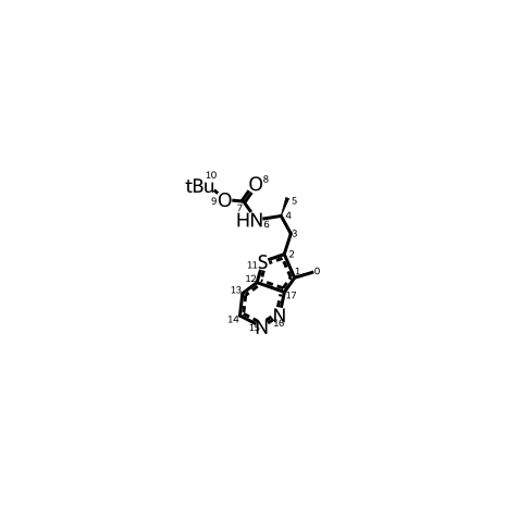 Cc1c(C[C@H](C)NC(=O)OC(C)(C)C)sc2ccnnc12